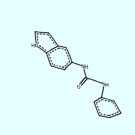 O=C(Nc1ccccc1)Nc1ccc2[nH]ccc2c1